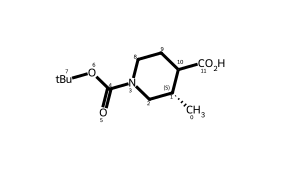 C[C@@H]1CN(C(=O)OC(C)(C)C)CCC1C(=O)O